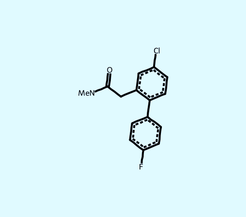 CNC(=O)Cc1cc(Cl)ccc1-c1ccc(F)cc1